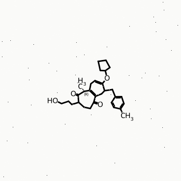 Cc1ccc(CC2CC3=C(CC=C2OC2CCCC2)[C@@H](C)C(=O)C(CCCO)CCC3=O)cc1